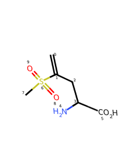 C=C(CC(N)C(=O)O)S(C)(=O)=O